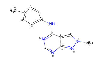 CCCCn1cc2c(Nc3ccc(C)cc3)ncnc2n1